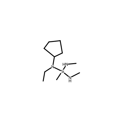 CCN(C1CCCC1)[Si](C)(NC)NC